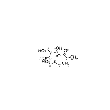 C=CC(=O)OC(O)C(CO)CO.CCCCO